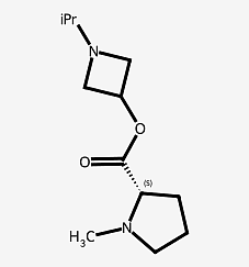 CC(C)N1CC(OC(=O)[C@@H]2CCCN2C)C1